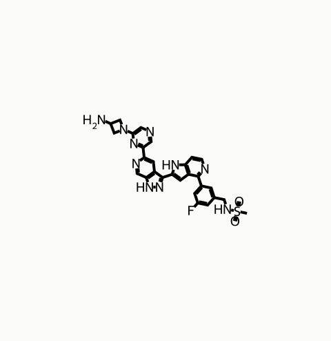 CS(=O)(=O)NCc1cc(F)cc(-c2nccc3[nH]c(-c4n[nH]c5cnc(-c6cncc(N7CC(N)C7)n6)cc45)cc23)c1